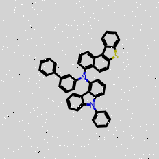 c1ccc(-c2cccc(N(c3cccc4c3ccc3sc5ccccc5c34)c3cccc4c3c3ccccc3n4-c3ccccc3)c2)cc1